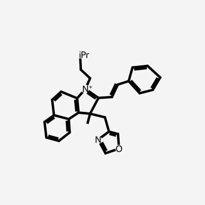 CC(C)CC[N+]1=C(/C=C/c2ccccc2)C(C)(Cc2cocn2)c2c1ccc1ccccc21